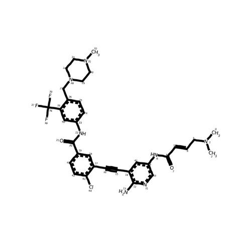 CN(C)C/C=C/C(=O)Nc1cnc(N)c(C#Cc2cc(C(=O)Nc3ccc(CN4CCN(C)CC4)c(C(F)(F)F)c3)ccc2Cl)c1